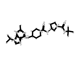 Cc1nc(NC2CCN(C(=O)O[C@H]3CCN(C(=O)OC(C)(C)C)C3)CC2)c2ncn(C(C)C)c2n1